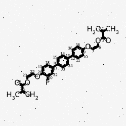 C=C(C)C(=O)O/C=C\Oc1ccc(-c2ccc(-c3ccc(O/C=C\OC(=O)C(=C)C)c(F)c3)cc2)cc1